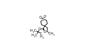 CCCC1(C(=O)OC(C)(C)C)CCS(=O)(=O)CC1